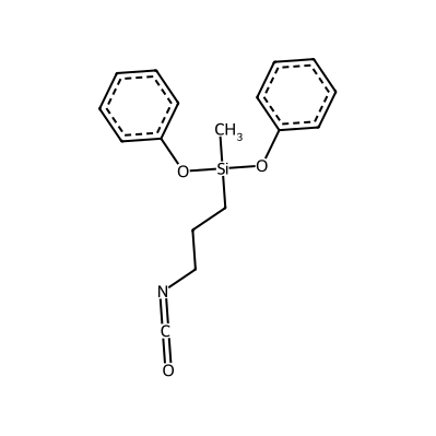 C[Si](CCCN=C=O)(Oc1ccccc1)Oc1ccccc1